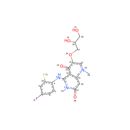 Cn1c(Nc2ccc(I)cc2F)c2c(=O)c(OCC(O)CO)cn(C)c2cc1=O